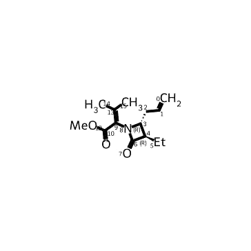 C=CC[C@@H]1[C@@H](CC)C(=O)N1C(C(=O)OC)=C(C)C